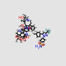 CC[C@]1(O)C[C@@H]2C[N@@](CCc3c([nH]c4ccccc34)[C@@](C(=O)OC)(c3cc4c(cc3OC)N(C)[C@H]3[C@@](O)(C(=O)OC)[C@H](OC(C)=O)[C@]5(CC)C=CCN6CC[C@]43[C@@H]65)C2)C1.Cc1ccc(-c2cc(C(F)(F)F)nn2-c2ccc(S(N)(=O)=O)cc2)cc1